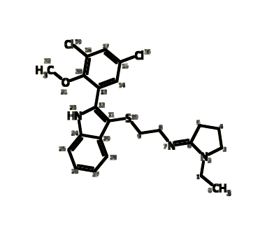 CCN1CCC/C1=N\CCSc1c(-c2cc(Cl)cc(Cl)c2OC)[nH]c2ccccc12